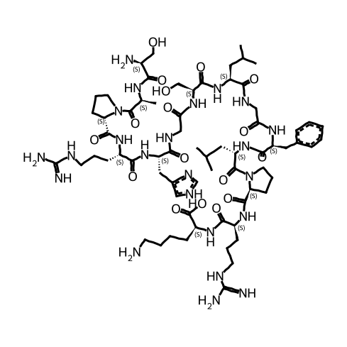 CC(C)C[C@H](NC(=O)[C@H](CO)NC(=O)CNC(=O)[C@H](Cc1c[nH]cn1)NC(=O)[C@H](CCCNC(=N)N)NC(=O)[C@@H]1CCCN1C(=O)[C@H](C)NC(=O)[C@@H](N)CO)C(=O)NCC(=O)N[C@@H](Cc1ccccc1)C(=O)N[C@@H](CC(C)C)C(=O)N1CCC[C@H]1C(=O)N[C@@H](CCCNC(=N)N)C(=O)N[C@@H](CCCCN)C(=O)O